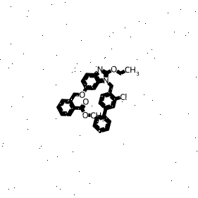 CCOc1nc2ccc(OCc3ccccc3C(=O)OC)cc2n1Cc1ccc(-c2ccccc2)cc1Cl